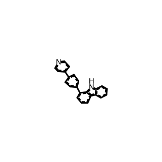 c1ccc2c(c1)[nH]c1c(-c3ccc(-c4ccncc4)cc3)cccc12